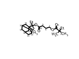 CCC(C)(C)C(=O)OCCCC(=O)OC(C)(CC)C12CC3CC(CC(C3)C1)C2